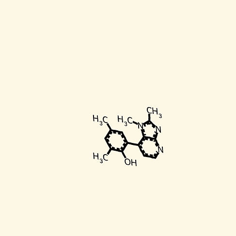 Cc1cc(C)c(O)c(-c2ccnc3nc(C)n(C)c23)c1